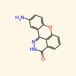 Nc1ccc2c(c1)-c1n[nH]c(=O)c3cccc(c13)O2